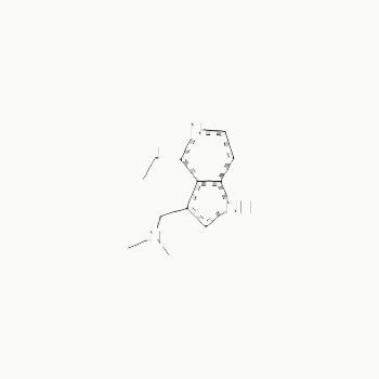 CI.CN(C)Cc1c[nH]c2ccncc12